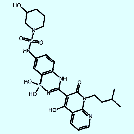 CC(C)CCn1c(=O)c(C2=NS(O)(O)c3cc(NS(=O)(=O)N4CCCC(O)C4)ccc3N2)c(O)c2cccnc21